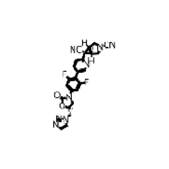 N#CN1C[C@@H]2[C@H](C1)[C@@]2(C#N)c1ccc(-c2c(F)cc(N3C[C@H](Cn4ccnn4)OC3=O)cc2F)cn1